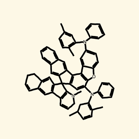 CC1=C(N(c2ccccc2)c2cc3c(c4c2oc2ccc(N(c5ccccc5)c5cc(C)ccc5C)cc24)-c2cc4ccccc4cc2C32C3=C(C=CCN3C)c3cc4c(cc32)CCC=C4)CC(C)C=C1